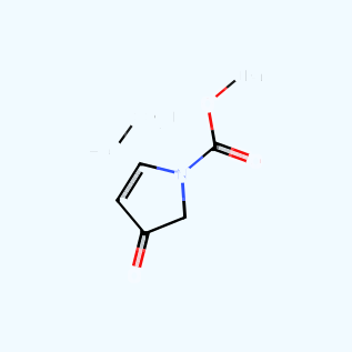 CC(=O)O.CC(C)(C)OC(=O)N1C=CC(=O)C1